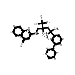 CC(C)(CC(O)(CNc1cc(=O)c2ccccc2[nH]1)C(F)(F)F)c1cccc(-c2cccnc2)c1